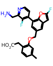 Cc1ccc(CC(=O)O)c(OCc2cc(-c3ccnc(CN)c3F)c3oc(F)cc3c2)c1